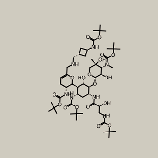 CN(C(=O)OC(C)(C)C)[C@@H]1[C@@H](O)[C@@H](O[C@@H]2[C@@H](O)[C@H](C3OC(CNC[C@H]4C[C@H](NC(=O)OC(C)(C)C)C4)=CC[C@H]3NC(=O)OC(C)(C)C)[C@@H](NC(=O)OC(C)(C)C)C[C@H]2NC(=O)[C@@H](O)CNC(=O)OC(C)(C)C)OC[C@]1(C)O